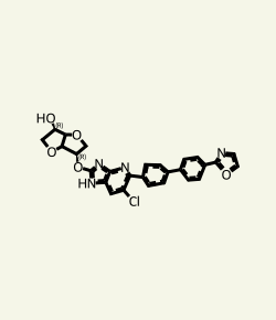 O[C@@H]1COC2C1OC[C@H]2Oc1nc2nc(-c3ccc(-c4ccc(-c5ncco5)cc4)cc3)c(Cl)cc2[nH]1